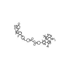 Cc1nc(-c2c(-c3nn(C(C)(C)C)c4ncnc(N)c34)noc2C2CC2)ncc1C1CCN(C(=O)OCC(=O)N2CCC(CN3CCN(c4ccc5c(N6CCC(=O)NC6=O)nn(C)c5c4F)CC3)CC2)CC1